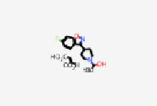 CC(C)(C)C(O)N1CCC(c2noc3cc(F)ccc23)CC1.O=C(O)C=CC(=O)O